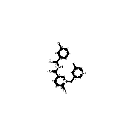 Cc1cncc(Cn2cc(C(=O)NC(=N)c3cccc(C)c3)ccc2=O)c1